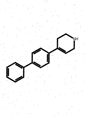 C1=C(c2ccc(-c3ccccc3)cc2)CCNC1